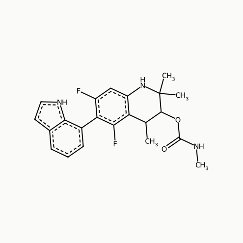 CNC(=O)OC1C(C)c2c(cc(F)c(-c3cccc4cc[nH]c34)c2F)NC1(C)C